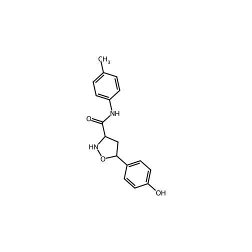 Cc1ccc(NC(=O)C2CC(c3ccc(O)cc3)ON2)cc1